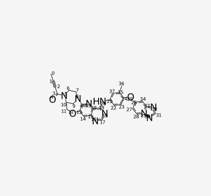 CC#CC(=O)N1CCN2CC1COc1cc3ncnc(Nc4ccc(Oc5ccn6ncnc6c5)c(C)c4)c3nc12